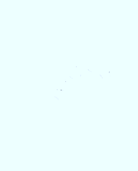 CCCCC(CC)COc1ccsc1-c1cc2c(s1)-c1sc(-c3sccc3OCC(CC)CCCC)cc1C(C)(C)O2